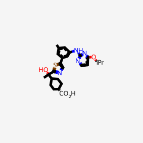 Cc1cc(Nc2nccc(OC(C)C)n2)cc(-c2cnc(C(C)(O)C3CCC(C(=O)O)CC3)s2)c1